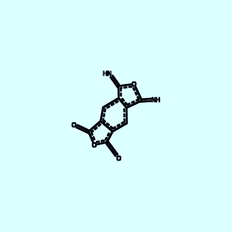 N=c1oc(=N)c2cc3c(=O)oc(=O)c3cc12